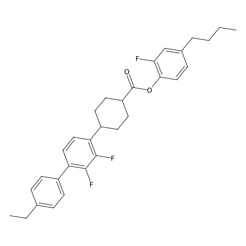 CCCCc1ccc(OC(=O)C2CCC(c3ccc(-c4ccc(CC)cc4)c(F)c3F)CC2)c(F)c1